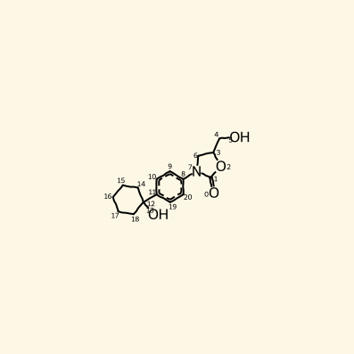 O=C1OC(CO)CN1c1ccc(C2(O)CCCCC2)cc1